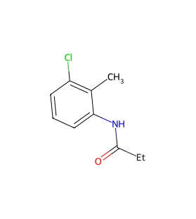 CCC(=O)Nc1cccc(Cl)c1C